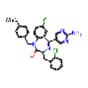 COc1ccc(CN2C(=O)C(Cc3ccccc3Cl)N=C(c3cnc(N)nc3)c3cc(Cl)ccc32)cc1